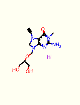 C#CN1CN(COC(CO)CO)c2nc(N)n(C)c(=O)c21.I